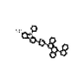 N#Cc1ccc2c3ccc(-c4ccc(-c5cc6c7ccccc7c(-c7cccc8ccccc78)cc6c6ccccc56)cn4)cc3n(-c3ccccc3)c2c1